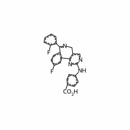 O=C(O)c1ccc(Nc2ncc3c(n2)-c2cc(F)ccc2C(c2ccccc2F)=NC3)cc1